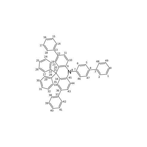 c1ccc(-c2ccc(N3c4ccc(-c5ccccc5)cc4C(c4ccccc4)(c4ccccc4)c4cc(-c5ccccc5)ccc43)cc2)cc1